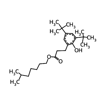 CC(C)CCCCCOC(=O)CCc1cc(C(C)(C)C)cc(C(C)(C)C)c1O